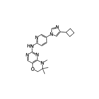 CN1c2nc(Nc3ccc(-n4cnc(C5CCC5)c4)cn3)ncc2OCC1(C)C